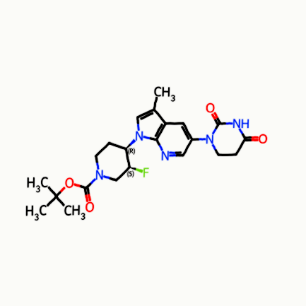 Cc1cn([C@@H]2CCN(C(=O)OC(C)(C)C)C[C@@H]2F)c2ncc(N3CCC(=O)NC3=O)cc12